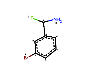 NC(F)c1cccc(Br)c1